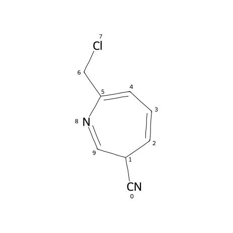 N#CC1C=CC=C(CCl)N=C1